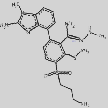 Cn1c(N)nc2c(-c3ccc(S(=O)(=O)CCCN)c(SN)c3/C(N)=N/NN)cccc21